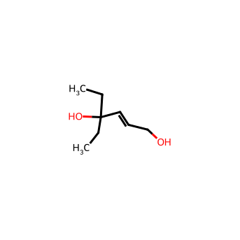 CCC(O)(C=CCO)CC